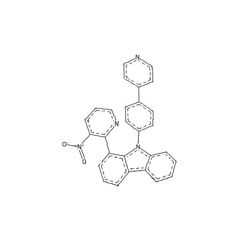 O=[N+]([O-])c1cccnc1-c1cccc2c3ccccc3n(-c3ccc(-c4ccncc4)cc3)c12